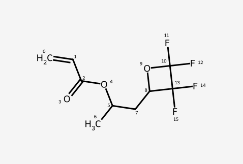 C=CC(=O)OC(C)CC1OC(F)(F)C1(F)F